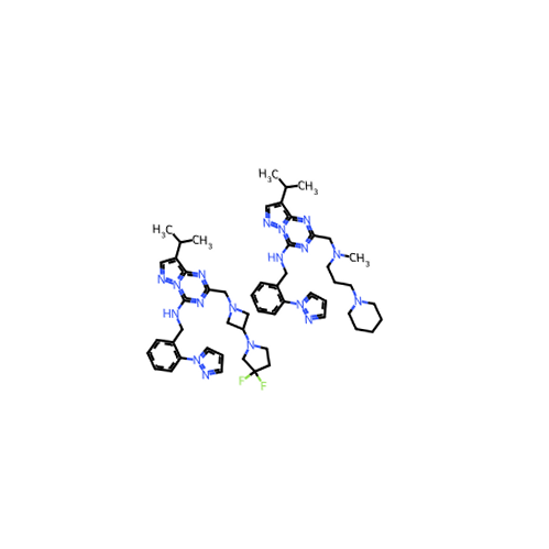 CC(C)c1cnn2c(NCc3ccccc3-n3cccn3)nc(CN(C)CCCN3CCCCC3)nc12.CC(C)c1cnn2c(NCc3ccccc3-n3cccn3)nc(CN3CC(N4CCC(F)(F)C4)C3)nc12